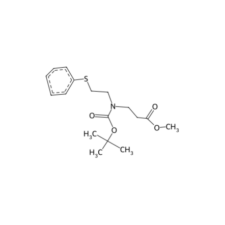 COC(=O)CCN(CCSc1ccccc1)C(=O)OC(C)(C)C